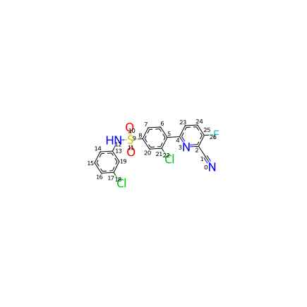 N#Cc1nc(-c2ccc(S(=O)(=O)Nc3cccc(Cl)c3)cc2Cl)ccc1F